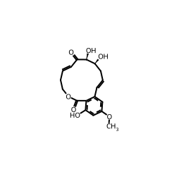 COc1cc(O)c2c(c1)/C=C/C[C@H](O)[C@H](O)C(=O)/C=C/CCOC2=O